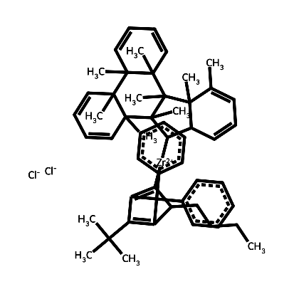 CCCCC1[C]([Zr+2][CH]2C3C=CC=C(C)C3(C)C3(C)C4(C)C=CC=CC4(C)C4(C)C=CC=CC4(C)C23C)=C2C(C(C)(C)C)=C1C2(c1ccccc1)c1ccccc1.[Cl-].[Cl-]